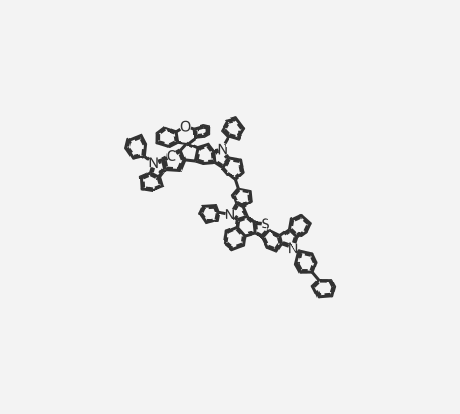 c1ccc(-c2ccc(-n3c4ccccc4c4c5sc6c(c7ccccc7c7c6c6ccc(-c8ccc9c(c8)c8cc%10c(cc8n9-c8ccccc8)C8(c9ccccc9Oc9ccccc98)c8cc9c(cc8-%10)c8ccccc8n9-c8ccccc8)cc6n7-c6ccccc6)c5ccc43)cc2)cc1